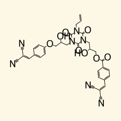 C=CCn1c(=O)n(CC(O)COC(=O)c2ccc(C=C(C#N)C#N)cc2)c(=O)n(CC(O)COc2ccc(C=C(C#N)C#N)cc2)c1=O